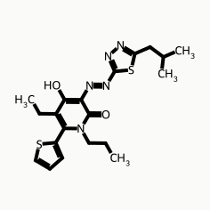 CCCn1c(-c2cccs2)c(CC)c(O)c(N=Nc2nnc(CC(C)C)s2)c1=O